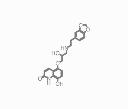 O=c1ccc2c(OCC(O)CNCCc3ccc4c(c3)OCO4)ccc(O)c2[nH]1